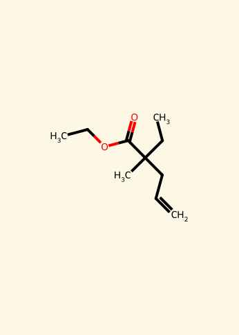 C=CCC(C)(CC)C(=O)OCC